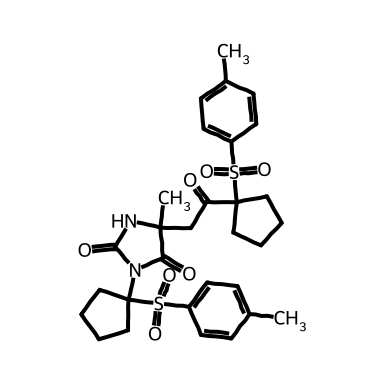 Cc1ccc(S(=O)(=O)C2(C(=O)CC3(C)NC(=O)N(C4(S(=O)(=O)c5ccc(C)cc5)CCCC4)C3=O)CCCC2)cc1